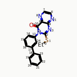 CCSc1nc2nccnc2c(=O)n1-c1cccc(-c2ccccc2)c1